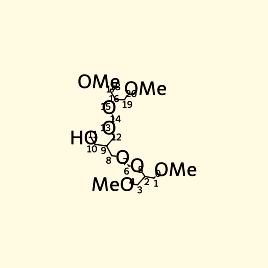 COCC(COC)OCOCC(CO)COCOC(COC)COC